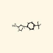 CC(C)(C)c1ccc(N2CCC(O)C2)cc1